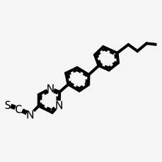 CCCCc1ccc(-c2ccc(-c3ncc(N=C=S)cn3)cc2)cc1